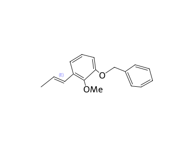 C/C=C/c1cccc(OCc2ccccc2)c1OC